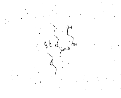 C=C.C=C.CCCCOC(C)=O.CCOCC.OCCO